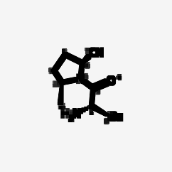 CC[C@H](C)[C@H](N)C(=O)N1[C@H](C#N)CC[C@@H]1C